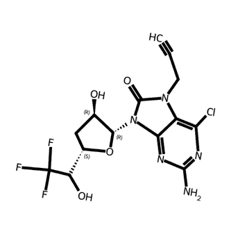 C#CCn1c(=O)n([C@@H]2O[C@H](C(O)C(F)(F)F)C[C@H]2O)c2nc(N)nc(Cl)c21